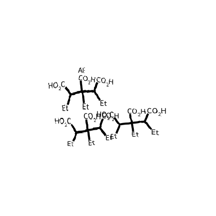 CCC(C(=O)O)C(CC)(C(=O)O)C(CC)C(=O)O.CCC(C(=O)O)C(CC)(C(=O)O)C(CC)C(=O)O.CCC(C(=O)O)C(CC)(C(=O)O)C(CC)C(=O)O.[Al]